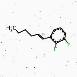 CCCC/C=C/c1cccc(F)c1F